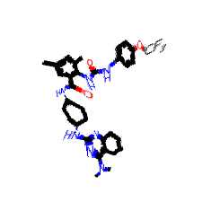 Cc1cc(C)c(NC(=O)Nc2ccc(OC(F)(F)F)cc2)c(C(=O)N[C@H]2CC[C@@H](Nc3nc4c(c(N(C)C)n3)CCCC4)CC2)c1